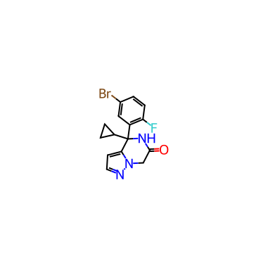 O=C1Cn2nccc2C(c2cc(Br)ccc2F)(C2CC2)N1